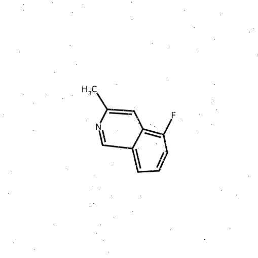 Cc1cc2c(F)cccc2cn1